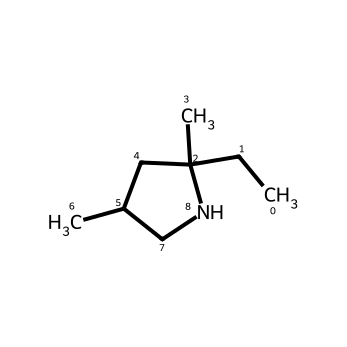 CCC1(C)CC(C)CN1